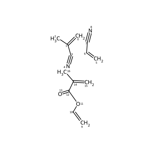 C=C(C)C#N.C=CC#N.C=COC(=O)C(=C)C